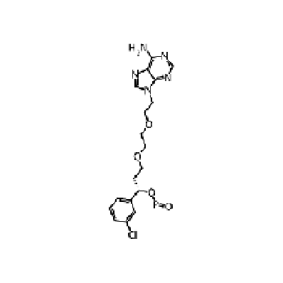 Nc1ncnc2c1ncn2CCOCCOCC[C@H](OP=O)c1cccc(Cl)c1